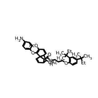 CCC(C)(C)c1ccc(OCCCNC(=O)C2C3C=CC24C(Oc2ccc(N)cc2)=C(OC(C)=O)C=CC4C3OC(C)=O)c(C(C)(C)CC)c1